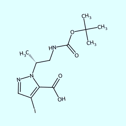 C[C@H](CNC(=O)OC(C)(C)C)n1ncc(I)c1C(=O)O